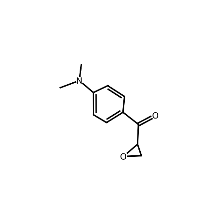 CN(C)c1ccc(C(=O)C2CO2)cc1